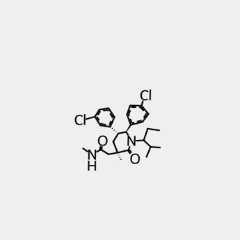 CCC(C(C)C)N1C(=O)[C@@](C)(CC(=O)NC)C[C@H](c2cccc(Cl)c2)[C@H]1c1ccc(Cl)cc1